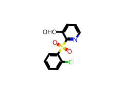 O=Cc1cccnc1S(=O)(=O)c1ccccc1Cl